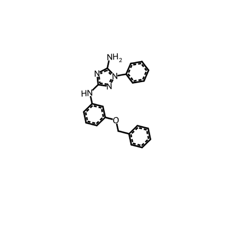 Nc1nc(Nc2cccc(OCc3ccccc3)c2)nn1-c1ccccc1